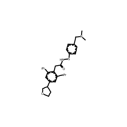 CC(C)c1cc(C2CCOC2)cc(C(C)C)c1CC(=O)NSc1ccc(CN(C)C)cc1